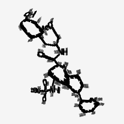 COC[C@H](Cc1ccc(O)cc1)NC(=O)c1cc(NS(=O)(=O)C(C)(C)C)c2cc(-c3ccccn3)ccc2n1